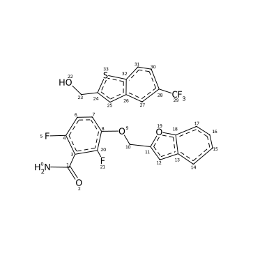 NC(=O)c1c(F)ccc(OCc2cc3ccccc3o2)c1F.OCc1cc2cc(C(F)(F)F)ccc2s1